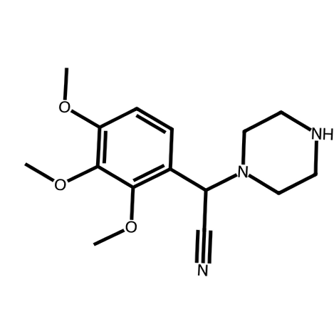 COc1ccc(C(C#N)N2CCNCC2)c(OC)c1OC